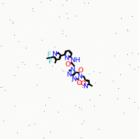 Cc1cc(Cn2c(=O)c3c(ncn3CC(=O)Nc3cccc(-c4cnc(C(C)(F)F)c(C)c4)n3)n(C)c2=O)on1